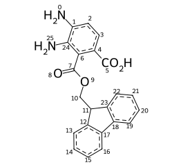 Nc1ccc(C(=O)O)c(C(=O)OCC2c3ccccc3-c3ccccc32)c1N